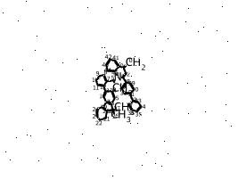 C=C(/C=C(\N=C(/C)c1ccccc1-c1ccc2c(c1)C1=C(CCC=C1)C2(C)C)c1ccc(-c2ccccc2)cc1)c1ccccc1